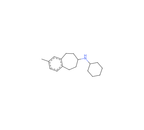 Cc1ccc2c(c1)CCC(NC1CCCCC1)CC2